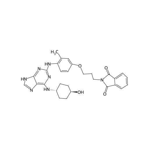 Cc1cc(OCCCN2C(=O)c3ccccc3C2=O)ccc1Nc1nc(N[C@H]2CC[C@H](O)CC2)c2nc[nH]c2n1